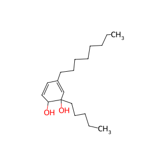 CCCCCCCCC1=CC(O)(CCCCC)C(O)C=C1